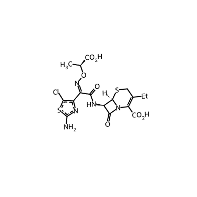 CCC1=C(C(=O)O)N2C(=O)[C@@H](NC(=O)/C(=N\O[C@@H](C)C(=O)O)c3nc(N)sc3Cl)[C@H]2SC1